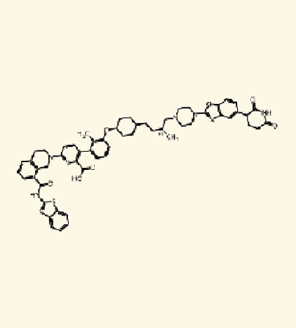 Cc1c(OC2CCC(CC[C@@H](C)CN3CCN(c4nc5cc(C6CCC(=O)NC6=O)ccc5o4)CC3)CC2)cccc1-c1ccc(N2CCc3cccc(C(=O)Nc4nc5ccccc5s4)c3C2)nc1C(=O)O